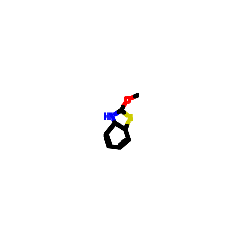 COC1NC2C=CC=CC2S1